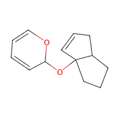 C1=COC(OC23C=CCC2CCC3)C=C1